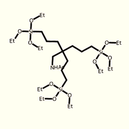 CCO[Si](CCCC(CCC[Si](OCC)(OCC)OCC)(CCC[Si](OCC)(OCC)OCC)CNC(C)=O)(OCC)OCC